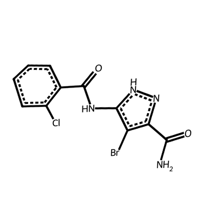 NC(=O)c1n[nH]c(NC(=O)c2ccccc2Cl)c1Br